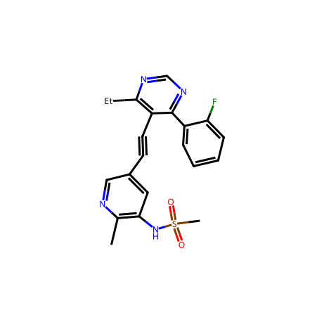 CCc1ncnc(-c2ccccc2F)c1C#Cc1cnc(C)c(NS(C)(=O)=O)c1